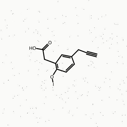 C#CCc1ccc(OI)c(CC(=O)O)c1